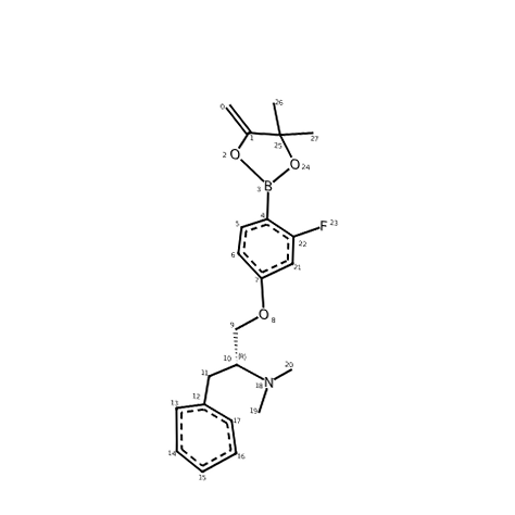 C=C1OB(c2ccc(OC[C@@H](Cc3ccccc3)N(C)C)cc2F)OC1(C)C